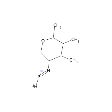 [3H]/P=N/C1COC(C)C(C)C1C